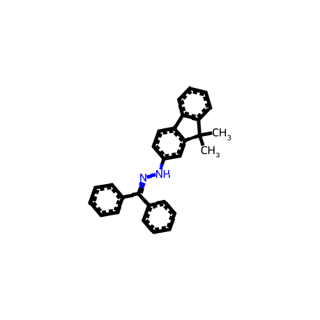 CC1(C)c2ccccc2-c2ccc(NN=C(c3ccccc3)c3ccccc3)cc21